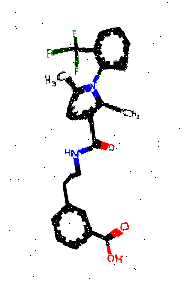 Cc1cc(C(=O)NCCc2cccc(C(=O)O)c2)c(C)n1-c1ccccc1C(F)(F)F